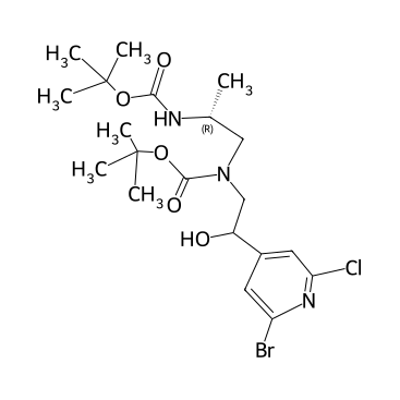 C[C@H](CN(CC(O)c1cc(Cl)nc(Br)c1)C(=O)OC(C)(C)C)NC(=O)OC(C)(C)C